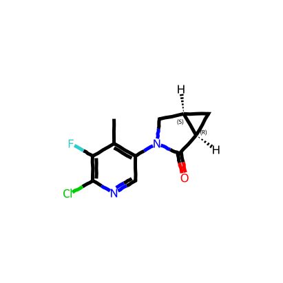 Cc1c(N2C[C@H]3C[C@H]3C2=O)cnc(Cl)c1F